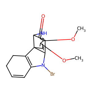 COC1=CNC2C(=O)CC=C3N(Br)C4=C(CCC=C4)C32C=C1OC